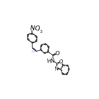 O=C(Nc1nc2ccccc2o1)c1cccc(/C=C\c2ccc([N+](=O)[O-])cc2)c1